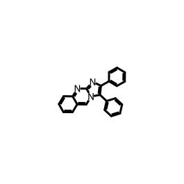 c1ccc(-c2nc3nc4ccccc4cn3c2-c2ccccc2)cc1